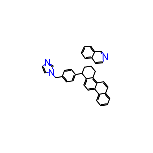 c1ccc2c(c1)ccc1c3c(ccc12)C(c1ccc(Cn2ccnc2)cc1)CCC3.c1ccc2cnccc2c1